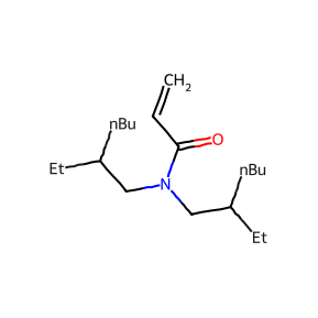 C=CC(=O)N(CC(CC)CCCC)CC(CC)CCCC